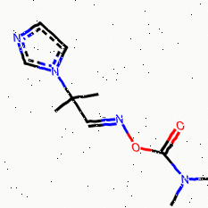 CN(C)C(=O)ON=CC(C)(C)n1ccnc1